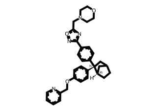 c1ccc(COc2ccc([C@@]3(c4ccc(-c5noc(CN6CCOCC6)n5)cc4)CC4CC[C@@H]3C4)cc2)nc1